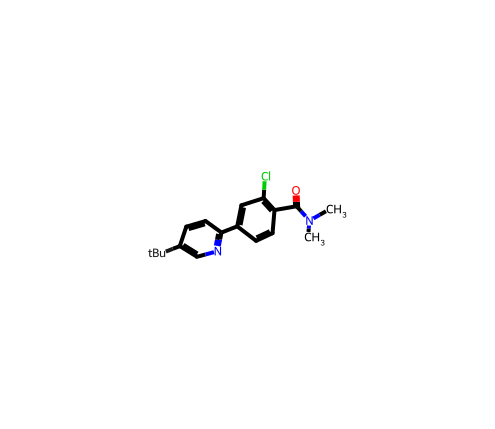 CN(C)C(=O)c1ccc(-c2ccc(C(C)(C)C)cn2)cc1Cl